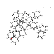 c1ccc(-c2ccccc2N(c2ccccc2)c2cccc3c2-c2ccccc2C32c3ccccc3-c3ccc(N(c4ccccc4)c4cccc(-c5cccc6ccccc56)c4)cc32)cc1